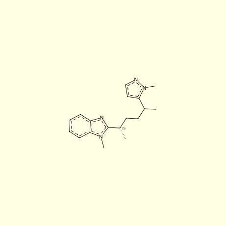 CC(CC[C@H](C)c1nc2ccccc2n1C)c1ccnn1C